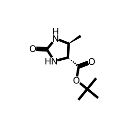 C[C@@H]1NC(=O)N[C@H]1C(=O)OC(C)(C)C